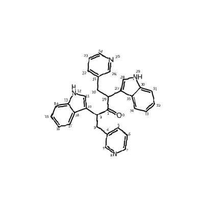 O=C(C(Cc1cccnc1)c1c[nH]c2ccccc12)C(Cc1cccnc1)c1c[nH]c2ccccc12